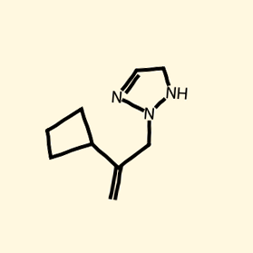 C=C(CN1N=CCN1)C1CCC1